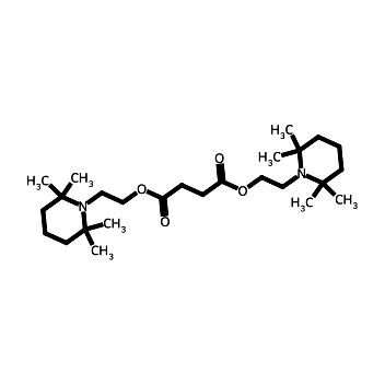 CC1(C)CCCC(C)(C)N1CCOC(=O)CCC(=O)OCCN1C(C)(C)CCCC1(C)C